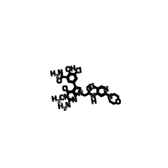 Cn1c(N)nc2c(c(-c3cc(Cl)c(O)c(C(N)=O)c3)cn2CC(=O)Nc2cc(N3CCOCC3)ncc2Cl)c1=O